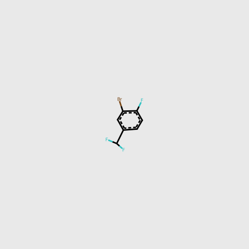 Fc1ccc(C(F)F)cc1Br